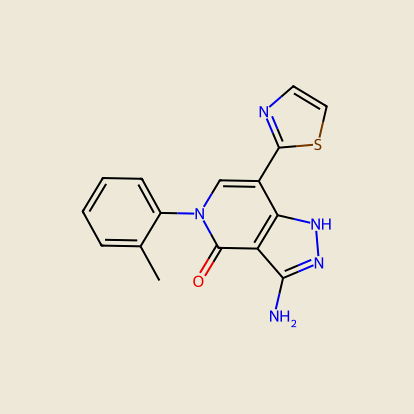 Cc1ccccc1-n1cc(-c2nccs2)c2[nH]nc(N)c2c1=O